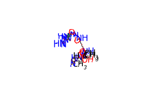 Cc1ncsc1-c1ccc(CNC(=O)[C@@H]2C[C@@H](O)CN2C(=O)[C@@H](NC(=O)CCCCCCCCCC(=O)NCCN2CCN(C(=O)c3ccc(Nc4nc(C5CC5)cn5c(-c6cn[nH]c6)cnc45)c(F)c3)CC2)C(C)(C)C)cc1